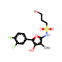 CC(=O)Oc1c(NS(=O)(=O)CCCBr)oc(-c2ccc(F)c(F)c2)c1O